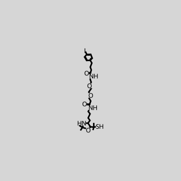 CC(C)(C)NC(CCCCNC(=O)CCOCCOCCNC(=O)CCCc1ccc(I)cc1)C(=O)C(C)(C)S